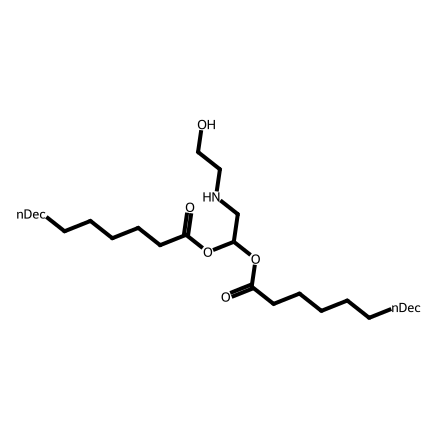 CCCCCCCCCCCCCCCC(=O)OC(CNCCO)OC(=O)CCCCCCCCCCCCCCC